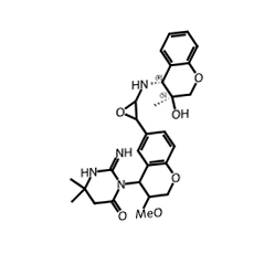 COC1COc2ccc(C3OC3N[C@@H]3c4ccccc4OC[C@@]3(C)O)cc2C1N1C(=N)NC(C)(C)CC1=O